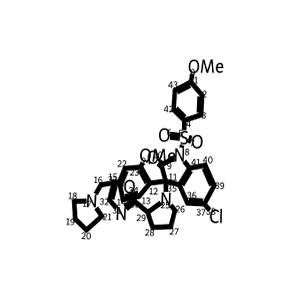 COc1ccc(S(=O)(=O)N2C(=O)C(c3ccc(CN4CCCC4)cc3OC)(N3CCCC3c3ncco3)c3cc(Cl)ccc32)cc1